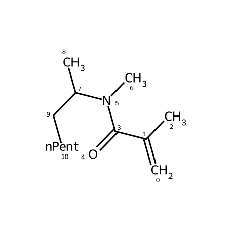 C=C(C)C(=O)N(C)C(C)CCCCCC